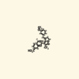 C[C@H](NC(O)c1c(C(F)(F)F)nn2c1N(Cc1cccc(OC(F)(F)F)c1)CC2)c1ccc(C(=O)O)cc1